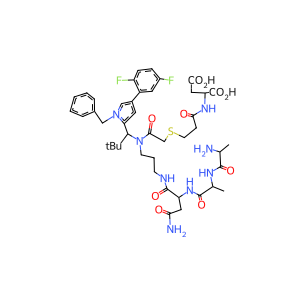 CC(N)C(=O)NC(C)C(=O)NC(CC(N)=O)C(=O)NCCCN(C(=O)CSCCC(=O)NC(CC(=O)O)C(=O)O)C(c1cc(-c2cc(F)ccc2F)cn1Cc1ccccc1)C(C)(C)C